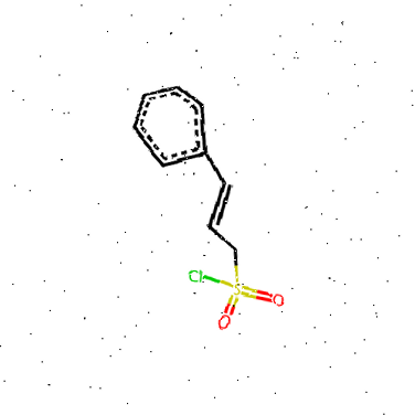 O=S(=O)(Cl)CC=Cc1ccccc1